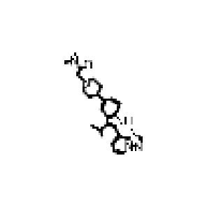 CC(C)c1c(-c2cccn3ncnc23)[nH]c2ccc(C3CCN(CC(=O)N(C)C)CC3)cc12